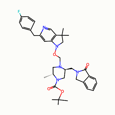 C[C@@H]1CN(CON2CC(C)(C)c3cnc(Cc4ccc(F)cc4)cc32)[C@@H](CN2Cc3ccccc3C2=O)CN1C(=O)OC(C)(C)C